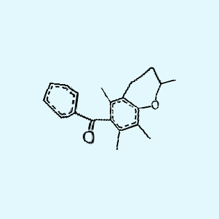 Cc1c(C)c(C(=O)c2ccccc2)c(C)c2c1OC(C)CC2